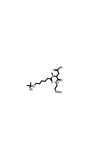 CNCCNC(=O)C(CC(=O)C(C)C)N(C)C(=O)CCCCCSC(C)(C)C(C)C